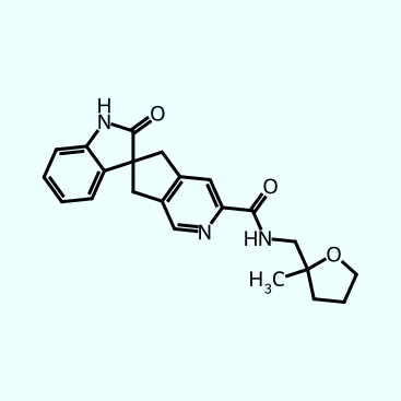 CC1(CNC(=O)c2cc3c(cn2)CC2(C3)C(=O)Nc3ccccc32)CCCO1